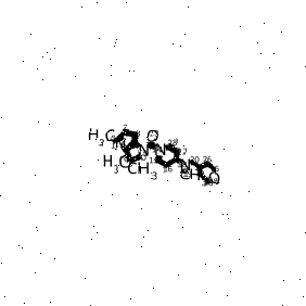 Cc1ccc2c(n1)C(C)(C)CN2C(=O)N1CCC(N(C)CC2CCOCC2)CC1